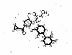 CC[S+]([O-])N[C@H]1[C@@H](F)CN(C(=O)C2CC2)[C@H]1Cc1cccc(-c2cccc(F)c2F)c1F